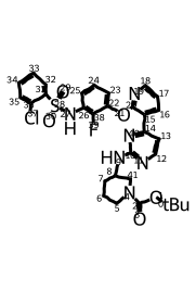 CC(C)(C)OC(=O)N1CCCC(Nc2nccc(-c3cccnc3Oc3cccc(NS(=O)(=O)c4ccccc4Cl)c3F)n2)C1